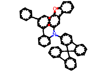 c1ccc(-c2cccc(-c3ccccc3N(c3ccc4c(c3)C3(c5ccccc5-c5ccccc53)c3ccccc3-4)c3ccc4oc5ccccc5c4c3)c2)cc1